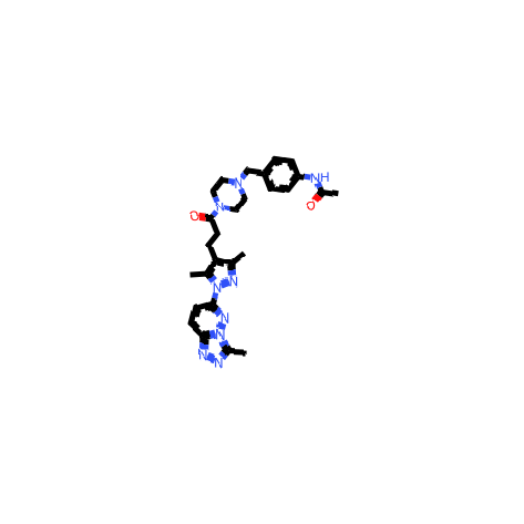 CC(=O)Nc1ccc(CN2CCN(C(=O)CCc3c(C)nn(-c4ccc5nnc(C)n5n4)c3C)CC2)cc1